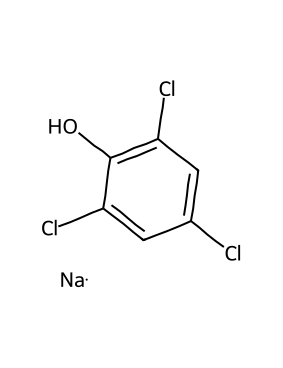 Oc1c(Cl)cc(Cl)cc1Cl.[Na]